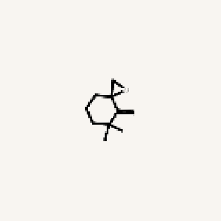 C=C1C(C)(C)CCCC12CO2